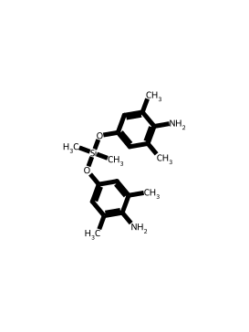 Cc1cc(O[Si](C)(C)Oc2cc(C)c(N)c(C)c2)cc(C)c1N